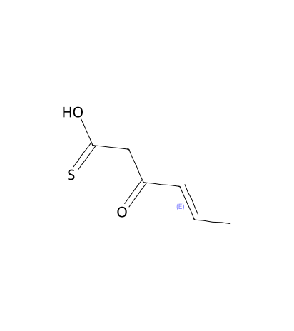 C/C=C/C(=O)CC(O)=S